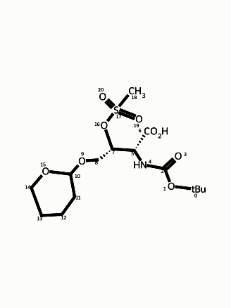 CC(C)(C)OC(=O)N[C@@H](C(=O)O)[C@H](COC1CCCCO1)OS(C)(=O)=O